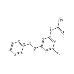 CCCC(=O)Oc1cc(F)cc(OCc2ccccc2)c1